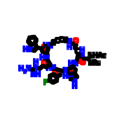 CCCC[C@H](NC(C)=O)C(=O)N[C@H]1CCC(=O)NCCCCNC(=O)[C@H](CCc2c[nH]c3ccccc23)NC(=O)[C@H](CCCNC(=N)N)NC(=O)[C@@H](Cc2ccc(F)cc2)NC(=O)[C@H](Cc2c[nH]cn2)NC1=O